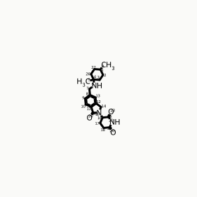 CC1CCC(C)(NCc2ccc3c(c2)CN(C2CCC(=O)NC2=O)C3=O)CC1